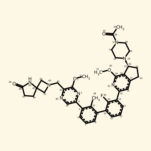 COc1nc(-c2cccc(-c3cccc(-c4cc5c(c(OC)n4)[C@@H](N4CCN(C(C)=O)CC4)CC5)c3F)c2C)cnc1CN1CC2(CCC(=O)N2)C1